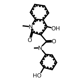 CN(C(=O)c1c(O)c2ccccc2n(C)c1=O)c1cccc(O)c1